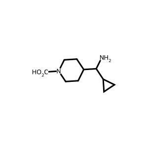 NC(C1CC1)C1CCN(C(=O)O)CC1